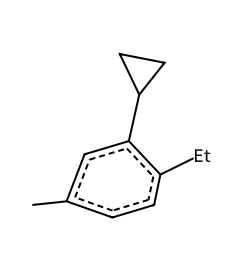 CCc1ccc(C)cc1C1CC1